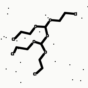 ClCCOC(OCCCl)OC(OCCCl)OCCCl